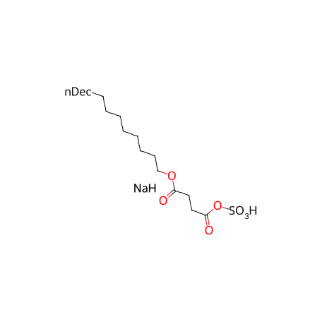 CCCCCCCCCCCCCCCCCCOC(=O)CCC(=O)OS(=O)(=O)O.[NaH]